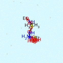 CCOCCOCCNC(=O)OCCC(C)(C)SSCOCCCCOC(=O)NCC#CC1CN([C@H]2C[C@@H](OCSSCC)C(COP(=O)(O)OP(=O)(O)OP(=O)(O)O)O2)C(=O)N=C1N